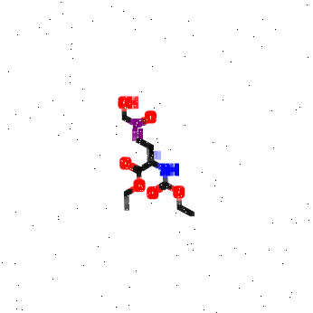 CCOC(=O)N/C(=C/C[PH](=O)CO)C(=O)OCC